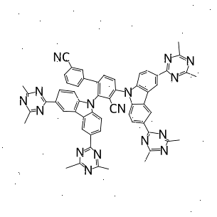 Cc1nc(C)nc(-c2ccc3c(c2)c2cc(-c4nc(C)nc(C)n4)ccc2n3-c2ccc(-c3cccc(C#N)c3)c(-n3c4ccc(-c5nc(C)nc(C)n5)cc4c4cc(-c5nc(C)nc(C)n5)ccc43)c2C#N)n1